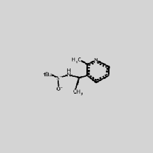 Cc1ncccc1C(C)N[S+]([O-])C(C)(C)C